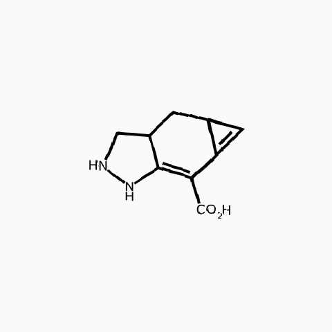 O=C(O)C1=C2NNCC2CC2C=C12